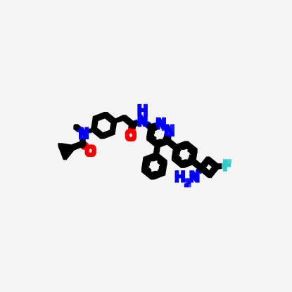 CN(C(=O)C1CC1)[C@H]1CC[C@H](CC(=O)Nc2cc(-c3ccccc3)c(-c3ccc(C4(N)CC(F)C4)cc3)nn2)CC1